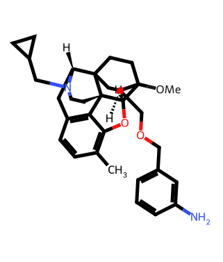 COC12CCC3(C[C@@H]1COCc1cccc(N)c1)[C@H]1Cc4ccc(C)c5c4[C@@]3(CCN1CC1CC1)[C@H]2O5